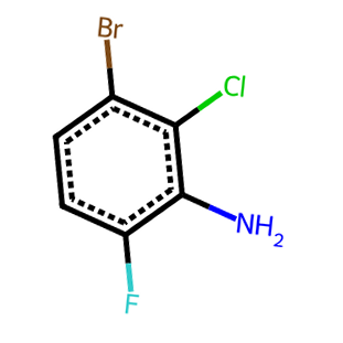 Nc1c(F)ccc(Br)c1Cl